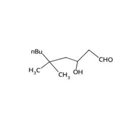 CCCCC(C)(C)CC(O)CC=O